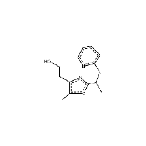 Cc1oc(C(C)Sc2ccccn2)nc1CCO